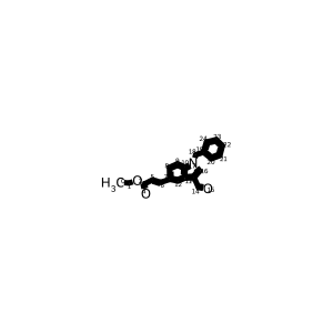 CCOC(=O)C=Cc1ccc2c(c1)c(C=O)cn2Cc1ccccc1